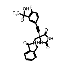 O=C1NC(=O)[C@@](C#Cc2ccc(F)c(C(O)(O)C(F)(F)F)c2)(CN2Cc3ccccc3C2=O)N1